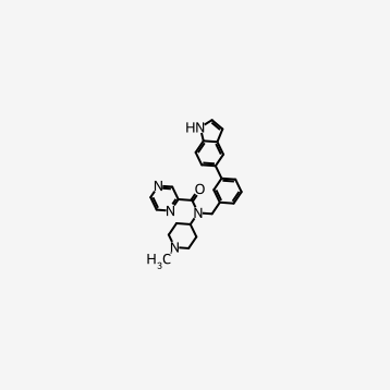 CN1CCC(N(Cc2cccc(-c3ccc4[nH]ccc4c3)c2)C(=O)c2cnccn2)CC1